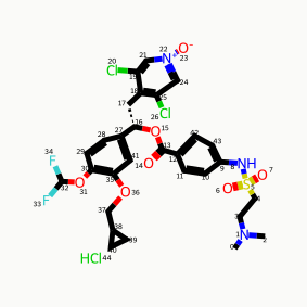 CN(C)CCS(=O)(=O)Nc1ccc(C(=O)O[C@@H](Cc2c(Cl)c[n+]([O-])cc2Cl)c2ccc(OC(F)F)c(OCC3CC3)c2)cc1.Cl